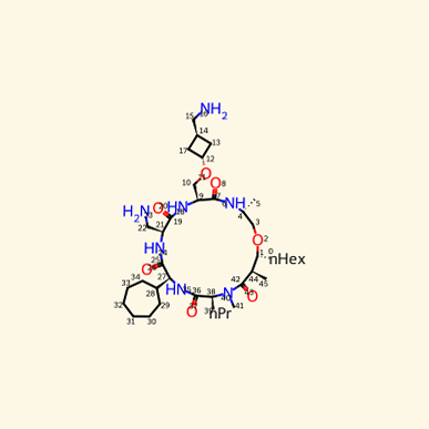 CCCCCC[C@H]1OC[C@@H](C)NC(=O)[C@H](CO[C@H]2C[C@H](CN)C2)NC(=O)[C@H](CN)NC(=O)[C@H](C2CCCCCC2)NC(=O)[C@H](CCC)N(C)C(=O)[C@@H]1C